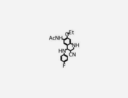 CCOc1cc2c(cc1NC(C)=O)C(Nc1ccc(F)cc1)C(C#N)CN2